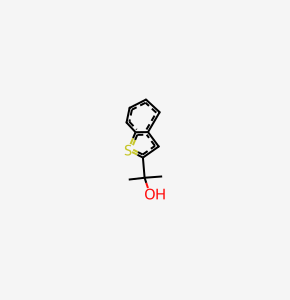 CC(C)(O)c1cc2ccccc2s1